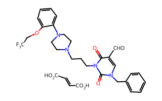 O=C(O)/C=C/C(=O)O.O=Cc1cn(Cc2ccccc2)c(=O)n(CCCN2CCN(c3ccccc3OCC(F)(F)F)CC2)c1=O